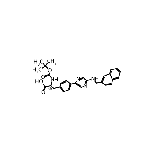 CC(C)(C)OC(=O)N[C@@H](Cc1ccc(-c2cnc(NCc3ccc4ccccc4c3)cn2)cc1)C(=O)O